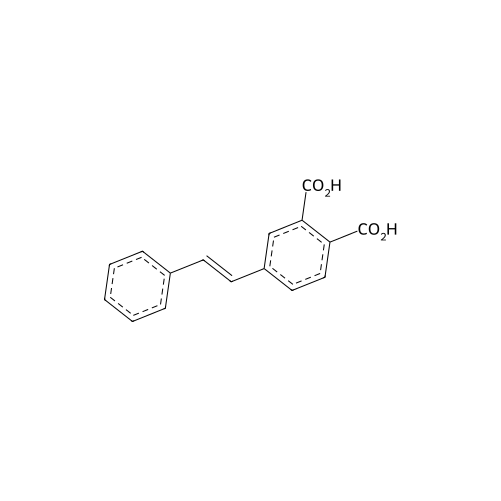 O=C(O)c1ccc(C=Cc2ccccc2)cc1C(=O)O